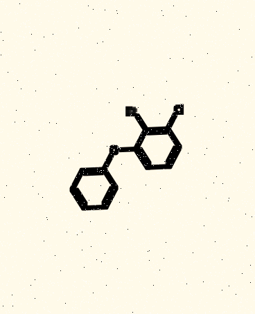 CCc1c(Cl)cccc1Oc1ccccc1